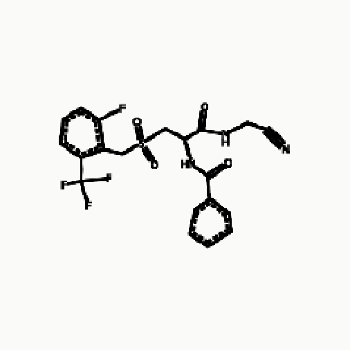 N#CCNC(=O)C(CS(=O)(=O)Cc1c(F)cccc1C(F)(F)F)NC(=O)c1ccccc1